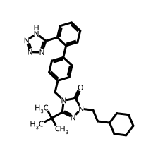 CC(C)(C)c1nn(CCC2CCCCC2)c(=O)n1Cc1ccc(-c2ccccc2-c2nnn[nH]2)cc1